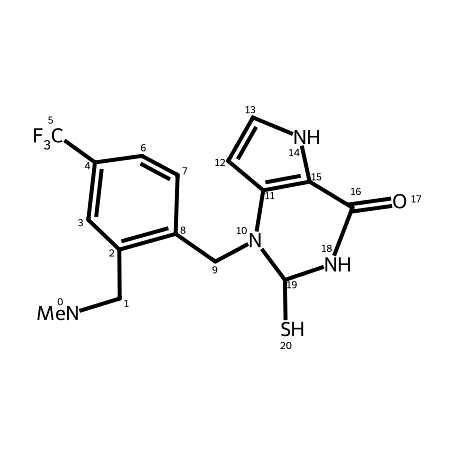 CNCc1cc(C(F)(F)F)ccc1CN1c2cc[nH]c2C(=O)NC1S